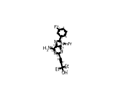 CCCn1c(-c2cccc(F)c2)nc2c(N)nc(C#CC(O)(CC)CC)nc21